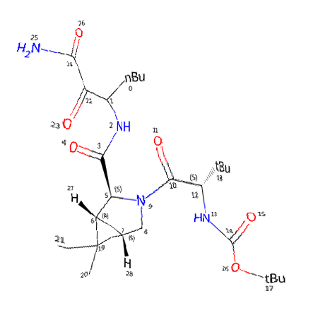 CCCCC(NC(=O)[C@@H]1[C@@H]2[C@H](CN1C(=O)[C@@H](NC(=O)OC(C)(C)C)C(C)(C)C)C2(C)C)C(=O)C(N)=O